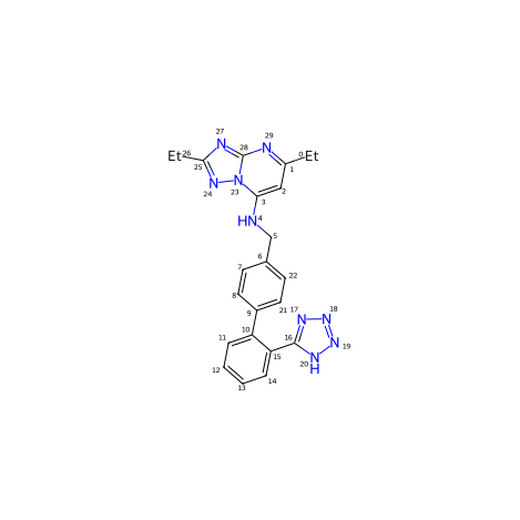 CCc1cc(NCc2ccc(-c3ccccc3-c3nnn[nH]3)cc2)n2nc(CC)nc2n1